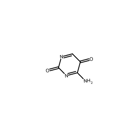 NC1=NC(=O)N=CC1=O